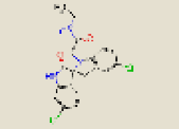 CC(C)N(CC(=O)NCC(F)(F)F)C1(Cc2cccc(Cl)c2)C(=O)Nc2cc(Cl)ccc21